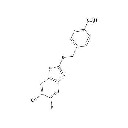 O=C(O)c1ccc(CSc2nc3cc(F)c(Cl)cc3s2)cc1